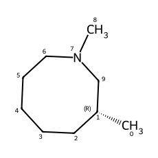 C[C@@H]1CCCCCN(C)C1